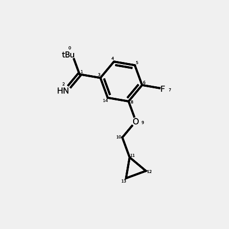 CC(C)(C)C(=N)c1ccc(F)c(OCC2CC2)c1